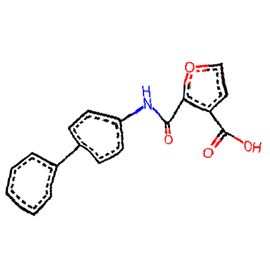 O=C(O)c1ccoc1C(=O)Nc1ccc(-c2ccccc2)cc1